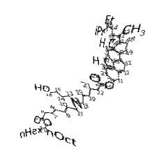 CCCCCCCCC(CCCCCC)OC(=O)CCCCCCN(CCCCO)CCCCCC(=O)OC1CCC2(C)C(=CCC3C2CCC2(C)C(C(C)CCC(CC)C(C)C)CCC32)C1